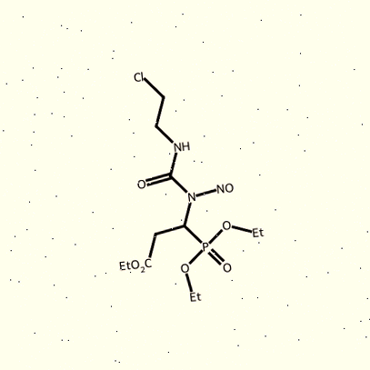 CCOC(=O)CC(N(N=O)C(=O)NCCCl)P(=O)(OCC)OCC